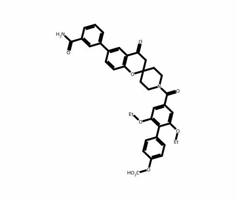 CCOc1cc(C(=O)N2CCC3(CC2)CC(=O)c2cc(-c4cccc(C(N)=O)c4)ccc2O3)cc(OCC)c1-c1ccc(OC(=O)O)cc1